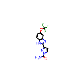 NC(=O)n1c[c]c(-c2nc3cc(OC(F)(F)F)ccc3[nH]2)n1